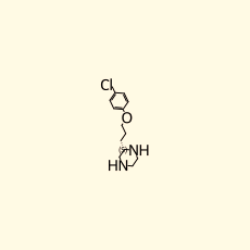 Clc1ccc(OCCC[C@H]2CNCCN2)cc1